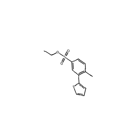 CCOS(=O)(=O)c1ccc(C)c(-c2cccs2)c1